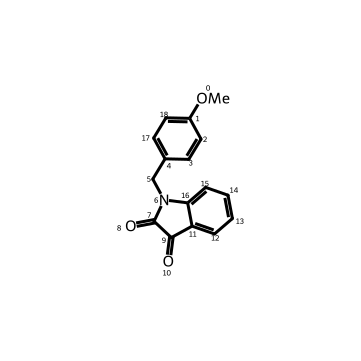 COc1ccc(CN2C(=O)C(=O)c3ccccc32)cc1